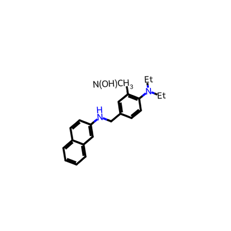 CCN(CC)c1ccc(CNc2ccc3ccccc3c2)cc1N(C)O